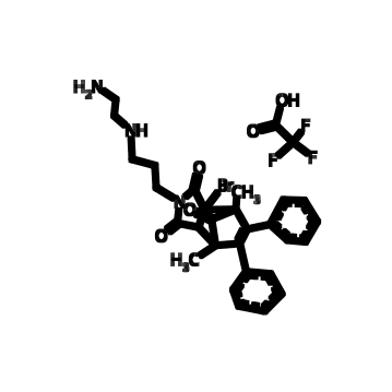 CC12C(=O)C(C)(C(c3ccccc3)=C1c1ccccc1)C1(Br)C(=O)N(CCCNCCN)C(=O)C21.O=C(O)C(F)(F)F